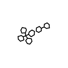 C1CCC(C(C2CCCCC2)(C2CCCCC2)C2CCCCC2)CC1.C1CCC(C2CCCCC2)CC1